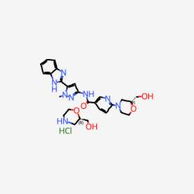 Cl.Cn1nc(NC(=O)c2ccc(N3CCO[C@@H](CO)C3)nc2)cc1-c1nc2ccccc2[nH]1.OC[C@H]1CNCCO1